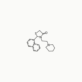 O=C1CSC(c2cccc3ccccc23)N1CCN1CCCCC1